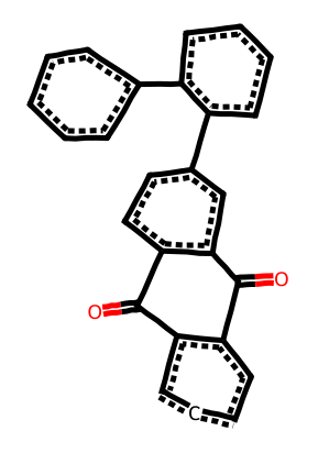 O=C1c2ccccc2C(=O)c2cc(-c3ccccc3-c3ccccc3)ccc21